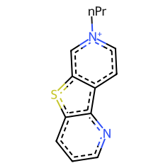 CCC[n+]1ccc2c(c1)sc1cccnc12